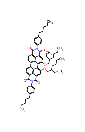 CCCCCc1ccc(N2C(=O)c3ccc4c5ccc6c7c(cc(OCC(CC)CCCC)c(c8c(OCC(CC)CCCC)cc(c3c48)C2=O)c75)C(=O)N(c2ccc(CCCCC)cc2)C6=O)cc1